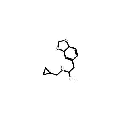 CC(CC1=CC2OCOC2C=C1)NCC1CC1